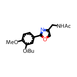 COc1ccc(-c2nc(CNC(C)=O)co2)cc1OCC(C)C